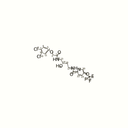 O=C(COc1ccc(Cl)c(Cl)c1)NC[C@@H](O)CCNC(=O)c1ccc(OC(F)(F)F)cn1